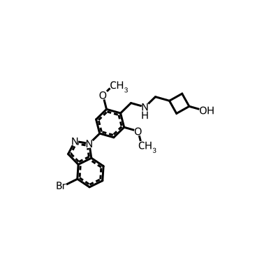 COc1cc(-n2ncc3c(Br)cccc32)cc(OC)c1CNCC1CC(O)C1